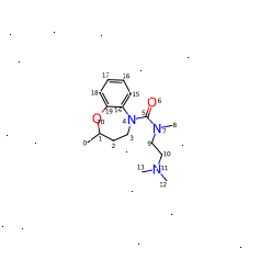 CC1CCN(C(=O)N(C)CCN(C)C)c2ccccc2O1